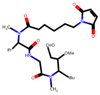 CCC(C)C(C(CC=O)OC)N(C)C(=O)CNC(=O)C(C(C)C)N(C)C(=O)CCCCCN1C(=O)C=CC1=O